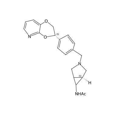 CC(=O)NC1C2CN(Cc3ccc([C@H]4COc5cccnc5O4)cc3)C[C@H]21